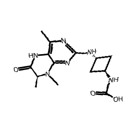 Cc1nc(N[C@H]2C[C@H](NC(=O)O)C2)nc2c1NC(=O)[C@H](C)N2C